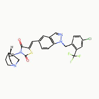 O=C1S/C(=C\c2ccc3c(cnn3Cc3ccc(Cl)cc3C(F)(F)F)c2)C(=O)N1[C@@H]1CN2CCC1CC2